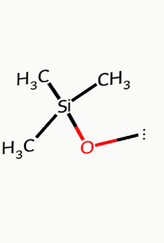 [C]O[Si](C)(C)C